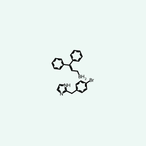 BCC=C(c1ccccc1)c1ccccc1.Brc1ccc(Cc2ncc[nH]2)cc1